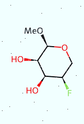 CO[C@H]1OC[C@@H](F)[C@@H](O)[C@H]1O